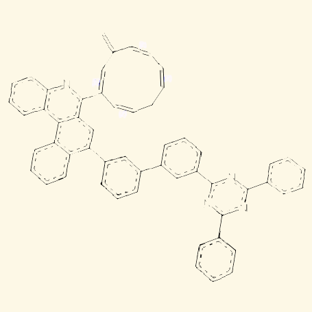 C=C1/C=C\C=C/C/C=C\C(c2nc3ccccc3c3c2cc(-c2cccc(-c4cccc(-c5nc(-c6ccccc6)nc(-c6ccccc6)n5)c4)c2)c2ccccc23)=C/1